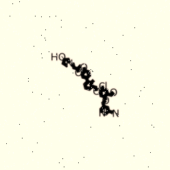 Cc1c(COc2cc(OCc3cncc(C#N)c3)c(C=O)cc2Cl)cccc1-c1ccc2c(c1)OC(CCN1CC[C@H](O)C1)CO2